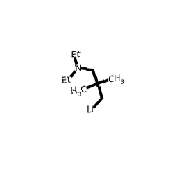 [Li][CH2]C(C)(C)CN(CC)CC